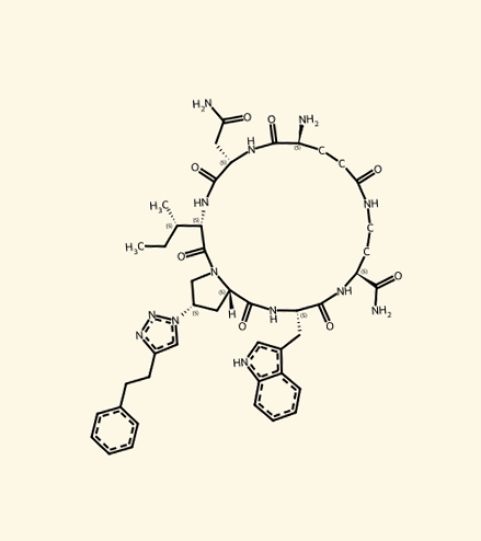 CC[C@H](C)[C@@H]1NC(=O)[C@H](CC(N)=O)NC(=O)[C@@H](N)CCC(=O)NCC[C@@H](C(N)=O)NC(=O)[C@H](Cc2c[nH]c3ccccc23)NC(=O)[C@@H]2C[C@H](n3cc(CCc4ccccc4)nn3)CN2C1=O